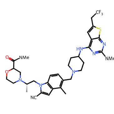 CNC(=O)C1CN([C@@H](C)Cn2c(C#N)cc3c(C)c(CN4CCC(Nc5nc(NC)nc6sc(CC(F)(F)F)cc56)CC4)ccc32)CCO1